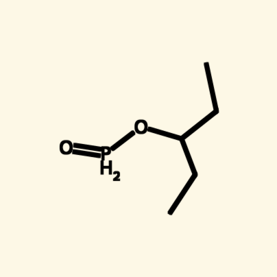 CCC(CC)O[PH2]=O